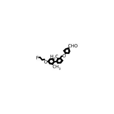 Cc1cc(OCCCF)ccc1-c1cccc(COc2ccc(C=O)cc2)c1C